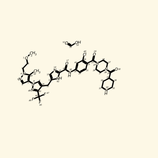 COCCn1ncc(-n2cc(Cc3cnc(C(=O)Nc4ccc(C(=O)N5CCN(C(=O)C6CCNCC6)CC5)c(Cl)c4)[nH]3)c(C(F)(F)F)n2)c1C.O=CO